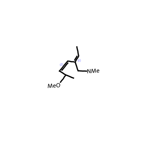 C/C=C(\C=C/C(C)OC)CNC